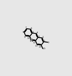 Cc1[c]c2cc3ccccc3nc2cc1C